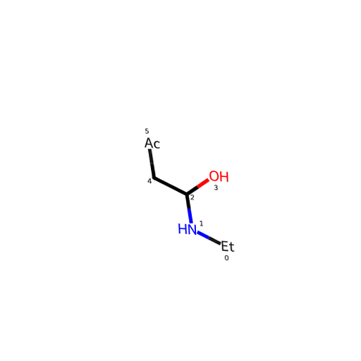 CCNC(O)CC(C)=O